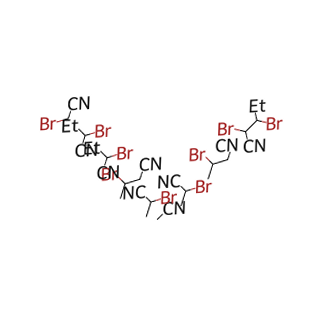 CC#N.CC(Br)C#N.CC(Br)C#N.CC(Br)CC#N.CC(Br)CC#N.CCC(Br)C#N.CCC(Br)C#N.CCC(Br)C(Br)C#N.N#CCBr